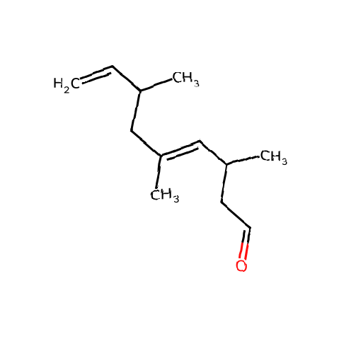 C=CC(C)CC(C)=CC(C)CC=O